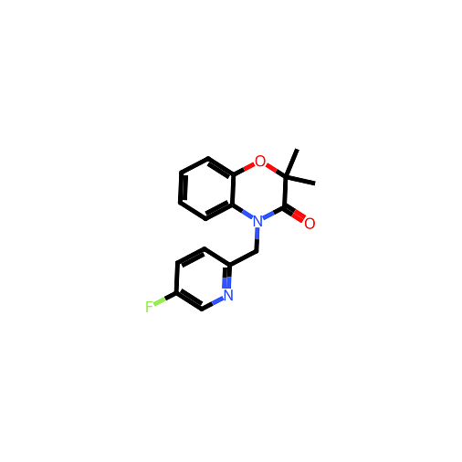 CC1(C)Oc2ccccc2N(Cc2ccc(F)cn2)C1=O